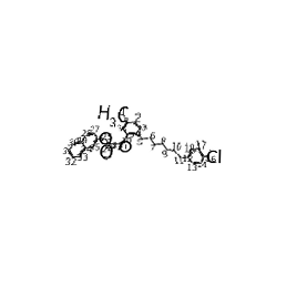 Cc1ccc(CCCCCCCc2ccc(Cl)cc2)c([C@H]2O[C@H]2C(=O)Oc2ccc3ccccc3c2)c1